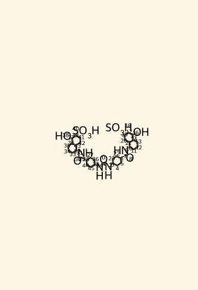 O=C(Nc1ccc(C(=O)Nc2cccc3c(O)c(S(=O)(=O)O)ccc23)cc1)Nc1ccc(C(=O)Nc2cccc3c(O)c(S(=O)(=O)O)ccc23)cc1